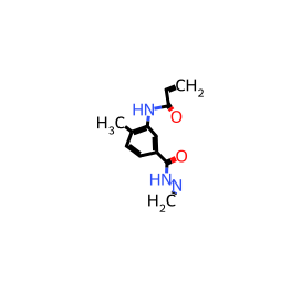 C=CC(=O)Nc1cc(C(=O)NN=C)ccc1C